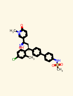 Cc1cc(Cl)ccc1[C@@H](C/C(=N\O)c1ccc(=O)n(C)c1)c1ccc(-c2ccc(NS(C)(=O)=O)cc2)cc1